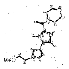 C=C(c1nc(C)c(-c2ccn(CCOC)c2)n1C)N1CCOCC1